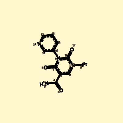 CC(C)n1cc(C(N)=O)c(=O)n(-c2cccnc2)c1=O